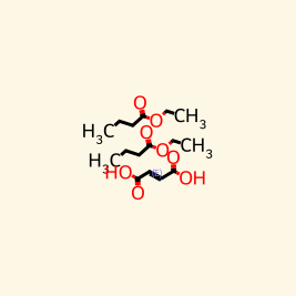 CCCC(=O)OCC.CCCC(=O)OCC.O=C(O)/C=C/C(=O)O